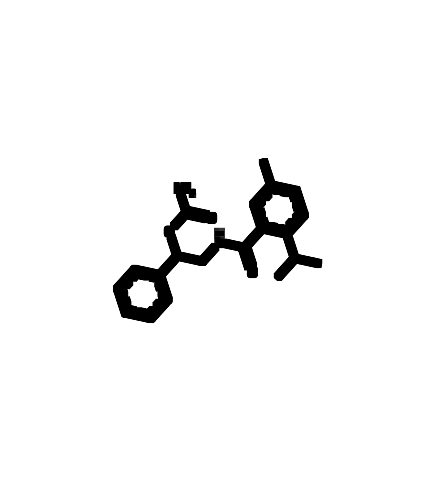 Cc1ccc(C(C)C)c(C(=O)NCC(OC(N)=O)c2ccccc2)c1